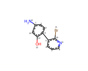 Nc1ccc(-c2cccnc2Br)c(O)c1